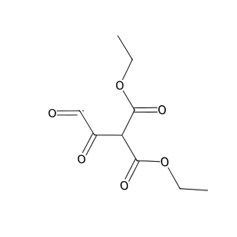 CCOC(=O)C(C(=O)[C]=O)C(=O)OCC